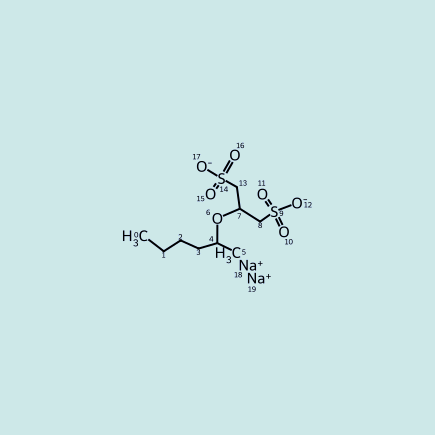 CCCCC(C)OC(CS(=O)(=O)[O-])CS(=O)(=O)[O-].[Na+].[Na+]